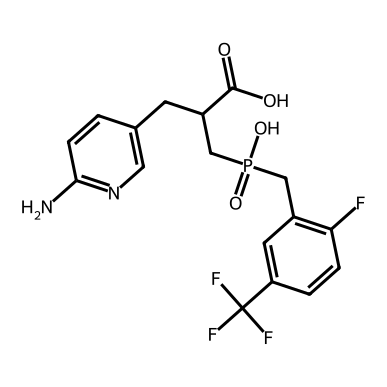 Nc1ccc(CC(CP(=O)(O)Cc2cc(C(F)(F)F)ccc2F)C(=O)O)cn1